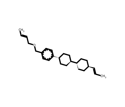 CC=CCOCc1ccc([C@H]2CC[C@H]([C@H]3CC[C@H](C=CC)CC3)CC2)cc1